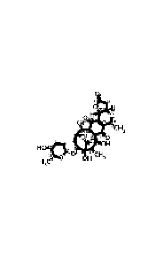 CC1OC2CC(O[C@H]3CC[C@H](O)[C@H](C)O3)C1(O)C(C)C(O)C1C(=O)C3=C(C(=O)C1C2O)[C@@H]1OC(=O)C[C@@H]1O[C@H]3C